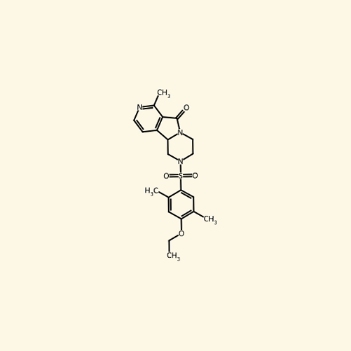 CCOc1cc(C)c(S(=O)(=O)N2CCN3C(=O)c4c(ccnc4C)C3C2)cc1C